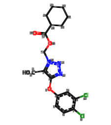 O=C(O)c1c(Oc2ccc(Cl)c(Cl)c2)nnn1COC(=O)C1CCCCC1